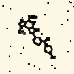 CNc1nc2[nH]c(-c3cccc(C(=O)N4CCN(C(C)=O)CC4)c3)cc2c2c1ncn2C